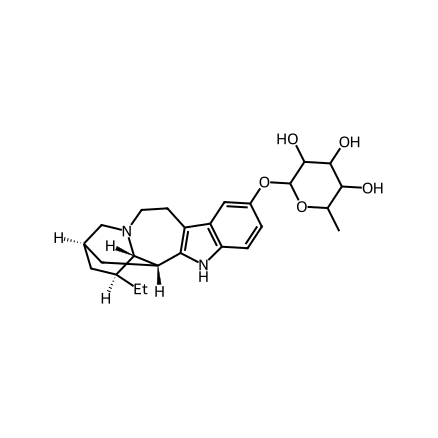 CC[C@H]1C[C@@H]2C[C@H]3c4[nH]c5ccc(OC6OC(C)C(O)C(O)C6O)cc5c4CCN(C2)[C@@H]13